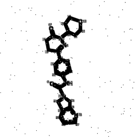 O=C(Nc1ccc(C2=NN(C3CCOCC3)C(=O)CC2)cc1)N1Cc2cccnc2C1